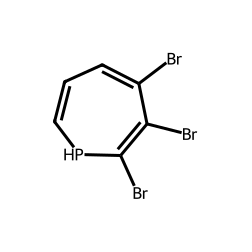 BrC1=CC=CPC(Br)=C1Br